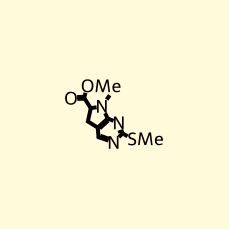 COC(=O)C1Cc2cnc(SC)nc2N1C